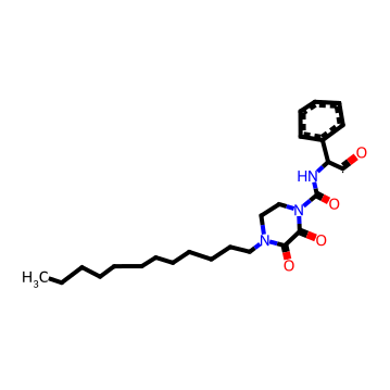 CCCCCCCCCCCCN1CCN(C(=O)NC([C]=O)c2ccccc2)C(=O)C1=O